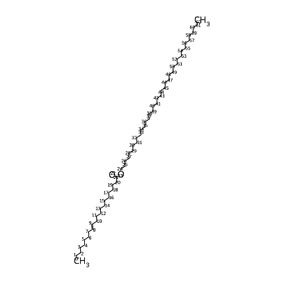 CCCCCCCCC=CCCCCCCCCCCCC(=O)OCCCCCCCCCCCCCCCCCCCCCCCCCCCCCCCCCCCCCCC